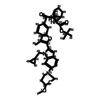 COC1CCN(c2ccc3cc(-c4oc5cc(C(=O)N6CC7CCC6[C@@H]7NC(=O)OC(C)(C)C)ccc5c4C)n(CC4CC4)c3c2)CC1